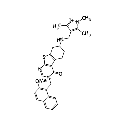 COc1ccc2ccccc2c1Cn1cnc2sc3c(c2c1=O)CCC(NCc1c(C)nn(C)c1C)C3